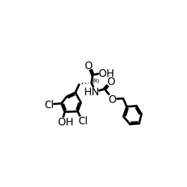 O=C(N[C@H](Cc1cc(Cl)c(O)c(Cl)c1)C(=O)O)OCc1ccccc1